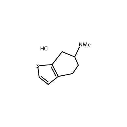 CNC1CCc2ccsc2C1.Cl